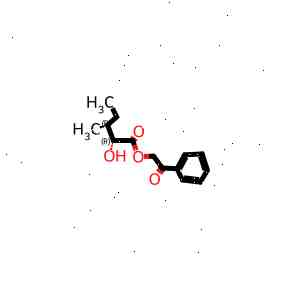 CC[C@@H](C)[C@@H](O)C(=O)OCC(=O)c1ccccc1